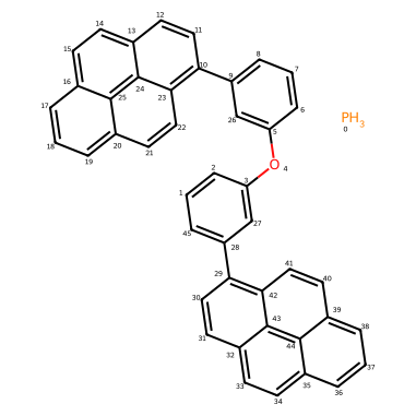 P.c1cc(Oc2cccc(-c3ccc4ccc5cccc6ccc3c4c56)c2)cc(-c2ccc3ccc4cccc5ccc2c3c45)c1